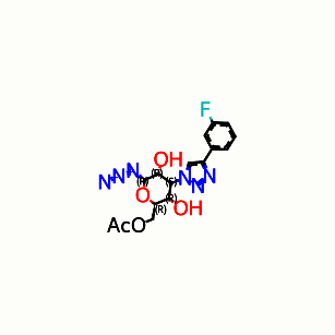 CC(=O)OC[C@H]1O[C@@H](N=[N+]=[N-])[C@H](O)[C@@H](n2cc(-c3cccc(F)c3)nn2)[C@H]1O